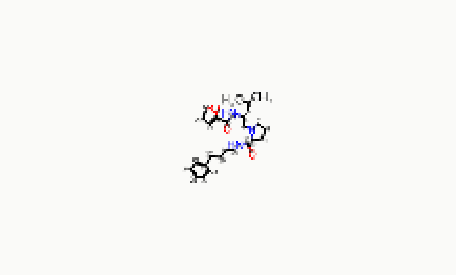 CC(C)C[C@H](CN1CCC[C@H]1C(=O)NCCCCc1ccccc1)NC(=O)c1ccco1